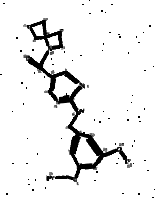 CC(C)Oc1cc(CNc2ncc(C(=O)N3CCC34COC4)cn2)cc(OC(F)(F)F)c1